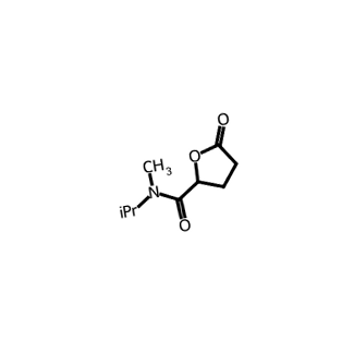 CC(C)N(C)C(=O)C1CCC(=O)O1